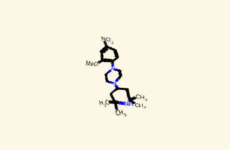 COc1cc([N+](=O)[O-])ccc1N1CCN(C2CC(C)(C)NC(C)(C)C2)CC1